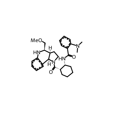 COC[C@@H]1Nc2ccccc2[C@H]2[C@@H]1CCN2C(=O)[C@H]1CCCC[C@H]1NC(=O)c1ccccc1N(C)C